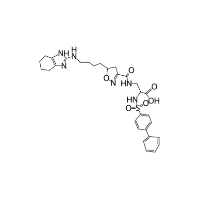 O=C(NCC(NS(=O)(=O)c1ccc(-c2ccccc2)cc1)C(=O)O)C1=NOC(CCCCNc2nc3c([nH]2)CCCC3)C1